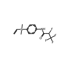 C=C[Si](C)(C)c1ccc(NC(=O)C(F)C(F)(F)F)cc1